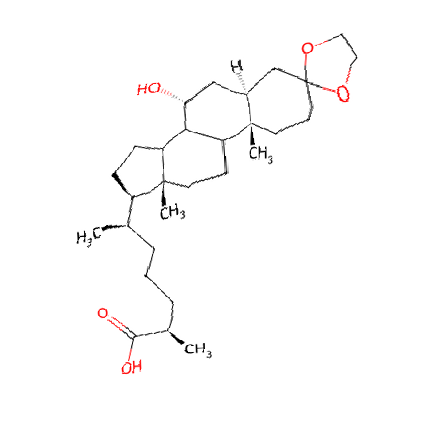 C[C@H](CCC[C@@H](C)[C@H]1CCC2C3C(CC[C@@]21C)[C@@]1(C)CCC2(C[C@@H]1C[C@H]3O)OCCO2)C(=O)O